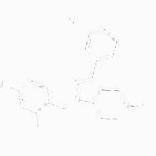 CC(=O)N1CCc2c(c(-c3cccc(C#N)c3)nn2Cc2ccc(F)cc2F)C1